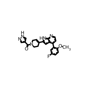 COc1ccc(F)cc1-c1ccnc2[nH]c(C3=CCN(C(=O)c4cn[nH]c4)CC3)cc12